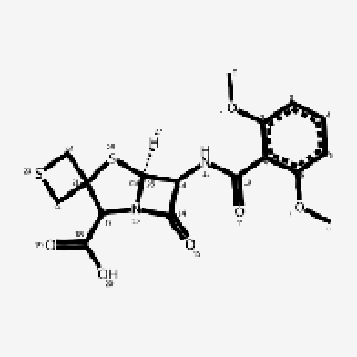 COc1cccc(OC)c1C(=O)NC1C(=O)N2C(C(=O)O)C3(CSC3)S[C@@H]12